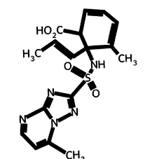 CC=CC1(NS(=O)(=O)c2nc3nccc(C)n3n2)C(C)=CC=CC1C(=O)O